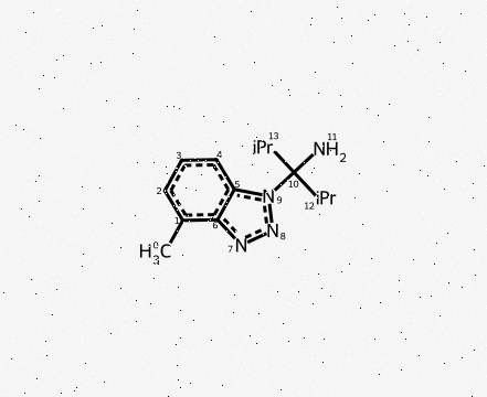 Cc1cccc2c1nnn2C(N)(C(C)C)C(C)C